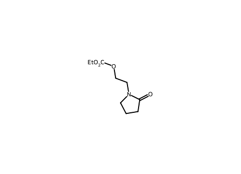 CCOC(=O)OCCN1CCCC1=O